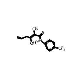 C=CCC(O)=C(C#N)C(=S)Nc1ccc(C(F)(F)F)cc1